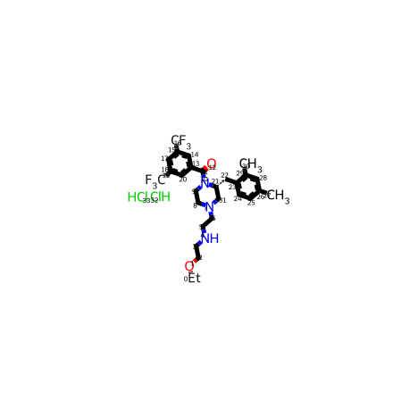 CCOCCNCCN1CCN(C(=O)c2cc(C(F)(F)F)cc(C(F)(F)F)c2)[C@H](Cc2ccc(C)cc2C)C1.Cl.Cl